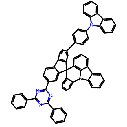 c1ccc(-c2nc(-c3ccccc3)nc(-c3ccc4c(c3)C3(c5ccccc5B5c6ccccc6-c6cccc3c65)c3cc(-c5ccc(-n6c7ccccc7c7ccccc76)cc5)ccc3-4)n2)cc1